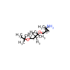 CCC(C)(C)OCCC(C)(C)C(C)(C)OCC1CC1(C)N